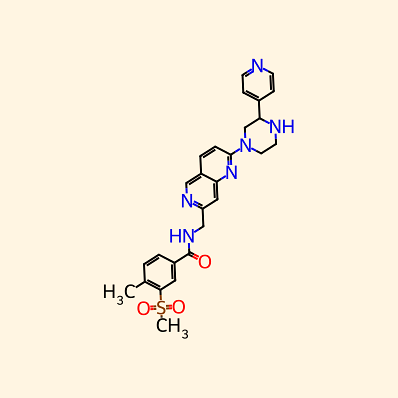 Cc1ccc(C(=O)NCc2cc3nc(N4CCNC(c5ccncc5)C4)ccc3cn2)cc1S(C)(=O)=O